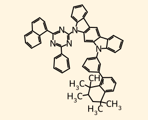 CC1CC(C)(C)c2cccc(-c3cccc(-n4c5ccccc5c5cc6c7ccccc7n(-c7nc(-c8ccccc8)nc(-c8cccc9ccccc89)n7)c6cc54)c3)c2C1(C)C